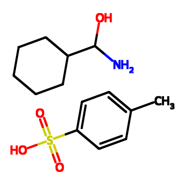 Cc1ccc(S(=O)(=O)O)cc1.NC(O)C1CCCCC1